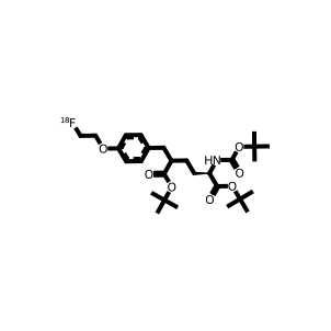 CC(C)(C)OC(=O)N[C@H](CCC(Cc1ccc(OCC[18F])cc1)C(=O)OC(C)(C)C)C(=O)OC(C)(C)C